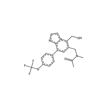 CC(=O)N(C)Cc1cc(-c2ccc(OC(F)(F)F)cc2)c2nccn2c1CO